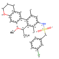 Cc1cc(NS(=O)(=O)Cc2cccc(Cl)c2)c(C)c(C(OC(C)(C)C)C(=O)O)c1-c1ccc2c(c1)CCCO2